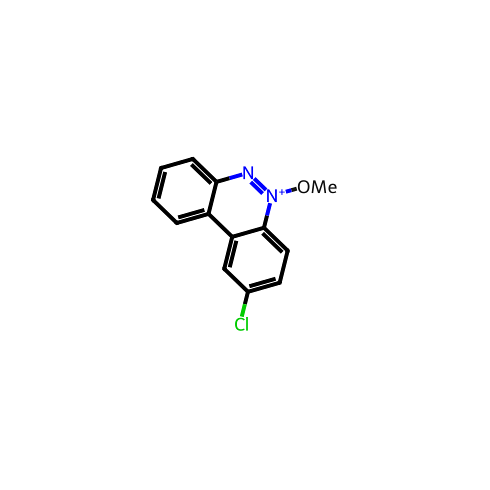 CO[n+]1nc2ccccc2c2cc(Cl)ccc21